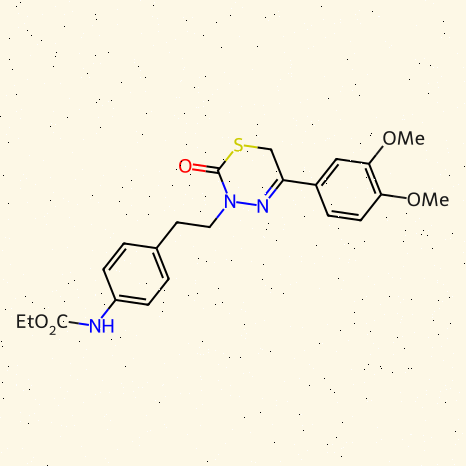 CCOC(=O)Nc1ccc(CCN2N=C(c3ccc(OC)c(OC)c3)CSC2=O)cc1